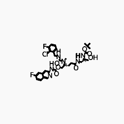 CN(C(=O)NCc1cccc(F)c1Cl)[C@H](CCC(=O)NC[C@H](CO)NC(=O)OC(C)(C)C)COC(=O)Nc1cc2cc(F)ccc2cn1